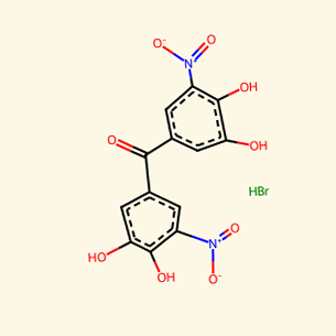 Br.O=C(c1cc(O)c(O)c([N+](=O)[O-])c1)c1cc(O)c(O)c([N+](=O)[O-])c1